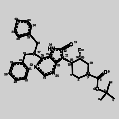 CC(C)(C)OC(=O)N1CC[C@@H](n2c(=O)[nH]c3c(N(Cc4ccccc4)Cc4ccccc4)ncnc32)[C@H](F)C1